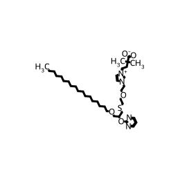 CCCCCCCCCCCCCCCCCCOCC(CSCCOCCN1C=C[N+](=CCC(C)(C)C(=O)[O-])C1)Oc1ncccn1